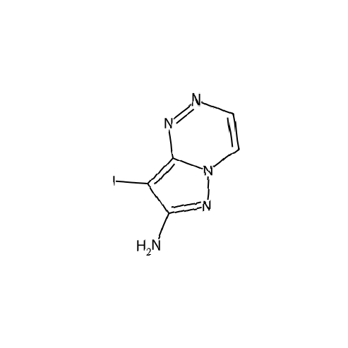 Nc1nn2ccnnc2c1I